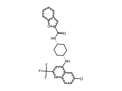 O=C(N[C@H]1CC[C@@H](Nc2cc(C(F)(F)F)nc3ccc(Cl)cc23)CC1)c1cc2ccccc2o1